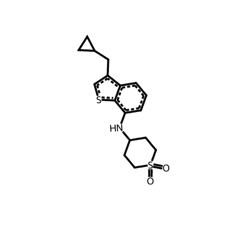 O=S1(=O)CCC(Nc2cccc3c(CC4CC4)csc23)CC1